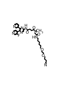 CN(CC(=O)NCCCCCCOCCOCCCC#N)C(=O)CCC(=O)Nc1cnc(-c2ccncc2F)c(-c2cccnc2)n1